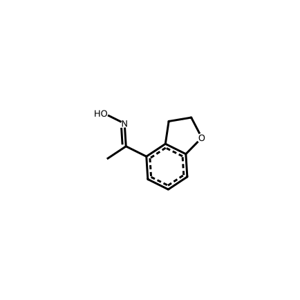 CC(=NO)c1cccc2c1CCO2